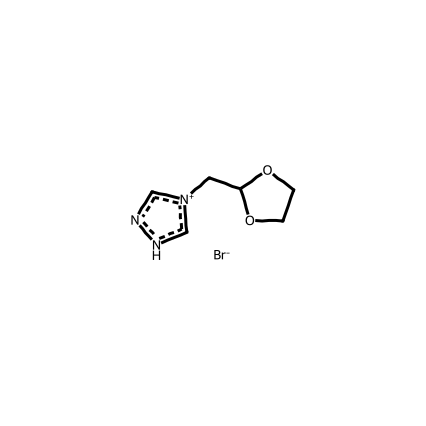 [Br-].c1n[nH]c[n+]1CC1OCCO1